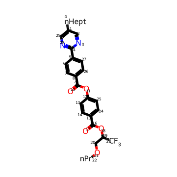 CCCCCCCc1cnc(-c2ccc(C(=O)Oc3ccc(C(=O)OC(COCCC)C(F)(F)F)cc3)cc2)nc1